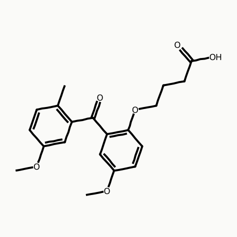 COc1ccc(C)c(C(=O)c2cc(OC)ccc2OCCCC(=O)O)c1